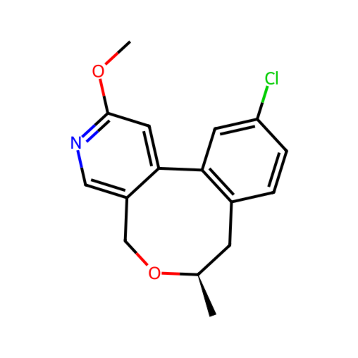 COc1cc2c(cn1)CO[C@H](C)Cc1ccc(Cl)cc1-2